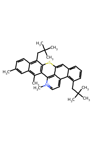 Cc1ccc2c(CC(C)(C)C)c3c(c(C)c2c1)-c1c2c(cc4cccc(CC(C)(C)C)c4c2cc[n+]1C)S3